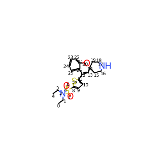 CCN(CC)S(=O)(=O)c1ccc(C2=CC3(CCNCC3)Oc3ccccc32)s1